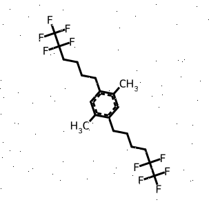 Cc1cc(CCCCC(F)(F)C(F)(F)F)c(C)cc1CCCCC(F)(F)C(F)(F)F